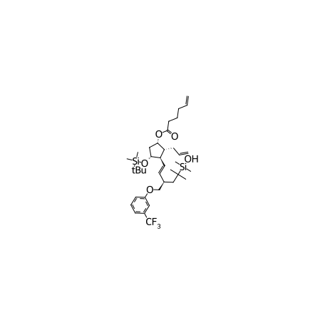 C=CCCCC(=O)O[C@H]1C[C@@H](O[Si](C)(C)C(C)(C)C)[C@H](/C=C/[C@H](COc2cccc(C(F)(F)F)c2)CC(C)(C)[Si](C)(C)O)[C@H]1CC=C